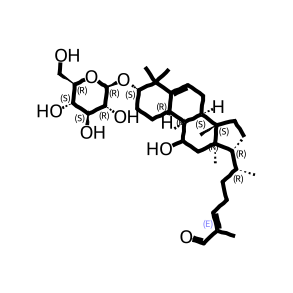 C/C(C=O)=C\CC[C@@H](C)[C@H]1CC[C@@]2(C)[C@@H]3CC=C4[C@@H](CC[C@H](O[C@@H]5O[C@H](CO)[C@@H](O)[C@H](O)[C@H]5O)C4(C)C)[C@]3(C)C(O)C[C@]12C